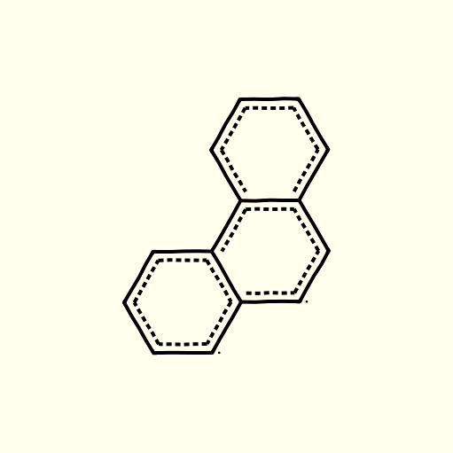 [c]1cccc2c1[c]cc1ccccc12